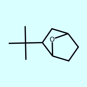 CC(C)(C)C1CC2CCC1O2